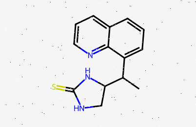 CC(c1cccc2cccnc12)C1CNC(=S)N1